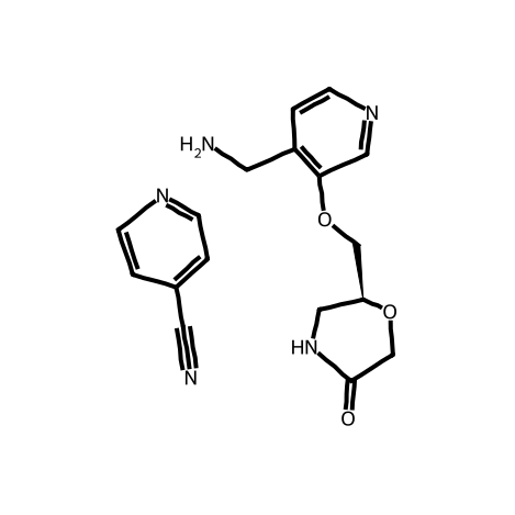 N#Cc1ccncc1.NCc1ccncc1OC[C@@H]1CNC(=O)CO1